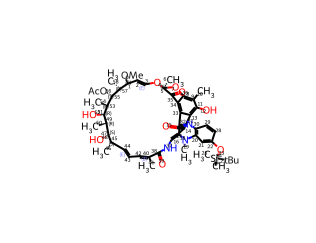 CO[C@H]1/C=C/O[C@@]2(C)Oc3c(C)c(O)c4c(=O)c(c5n(C)c6cc(O[Si](C)(C)C(C)(C)C)ccc6nc-5c4c3C2=O)NC(=O)/C(C)=C\C=C\[C@H](C)[C@H](O)[C@@H](C)[C@@H](O)[C@@H](C)[C@H](OC(C)=O)[C@@H]1C